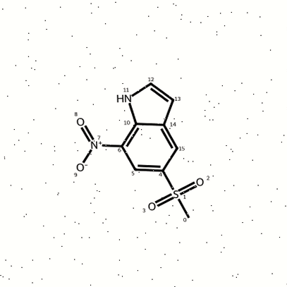 CS(=O)(=O)c1cc([N+](=O)[O-])c2[nH]ccc2c1